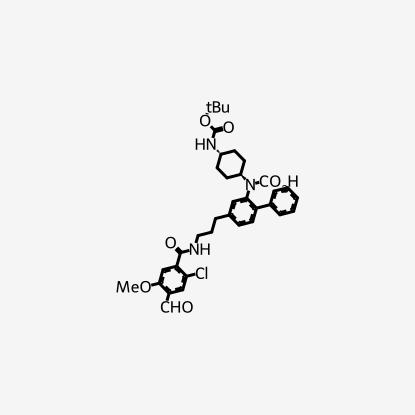 COc1cc(C(=O)NCCCc2ccc(-c3ccccc3)c(N(C(=O)O)[C@H]3CC[C@H](NC(=O)OC(C)(C)C)CC3)c2)c(Cl)cc1C=O